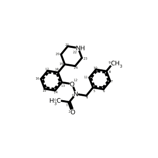 CC(=O)N(Cc1ccc(C)cc1)Oc1ccccc1C1CCNCC1